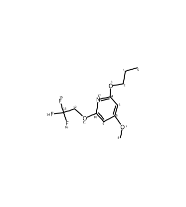 CCCOc1cc(OC)cc(OCC(F)(F)F)n1